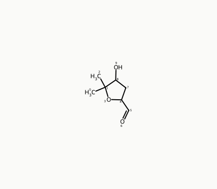 CC1(C)OC(C=O)CC1O